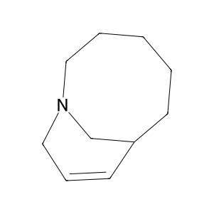 C1=CC2CCCCCN(C1)C2